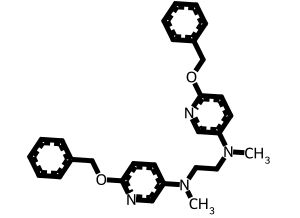 CN(CCN(C)c1ccc(OCc2ccccc2)nc1)c1ccc(OCc2ccccc2)nc1